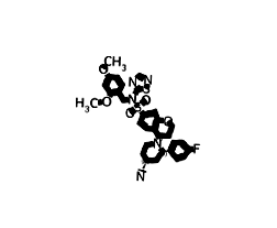 COc1ccc(CN(c2ncns2)S(=O)(=O)c2ccc3c(c2)OCC[C@H]3N2CC[C@@H](C#N)C[C@H]2c2ccc(F)cc2)c(OC)c1